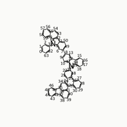 c1ccc(-n2c3cc(-c4ccc5c(c4)c4ccccc4n5-c4cccc(-c5ccccc5-c5ccc6c7c(cccc57)-c5ccccc5-6)c4)ccc3c3ccc4ccccc4c32)cc1